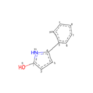 Oc1ccc(-c2ccccc2)[nH]1